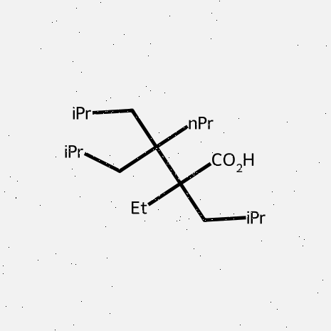 CCCC(CC(C)C)(CC(C)C)C(CC)(CC(C)C)C(=O)O